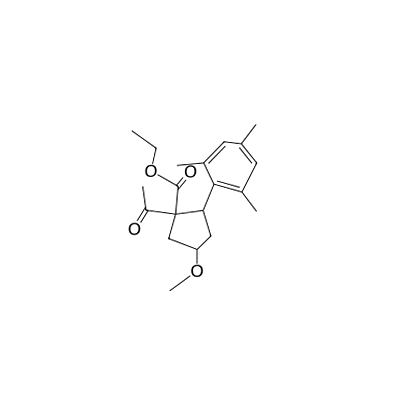 CCOC(=O)C1(C(C)=O)CC(OC)CC1c1c(C)cc(C)cc1C